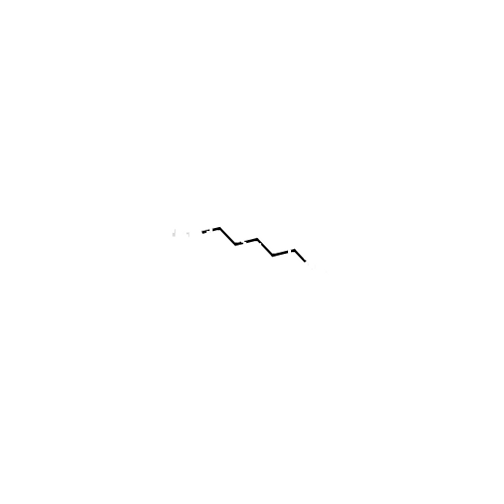 CCCCCCCCCCS(=O)(=O)O.F